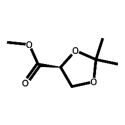 COC(=O)[C@@H]1COC(C)(C)O1